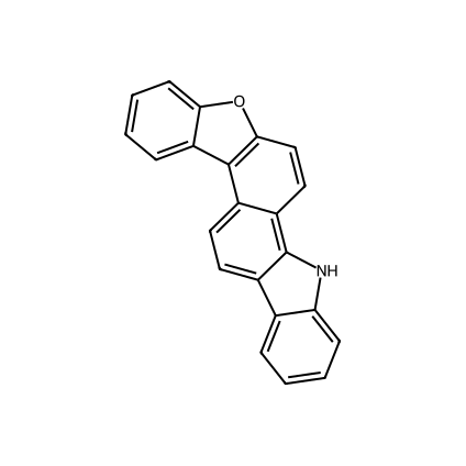 c1ccc2c(c1)[nH]c1c2ccc2c1ccc1oc3ccccc3c12